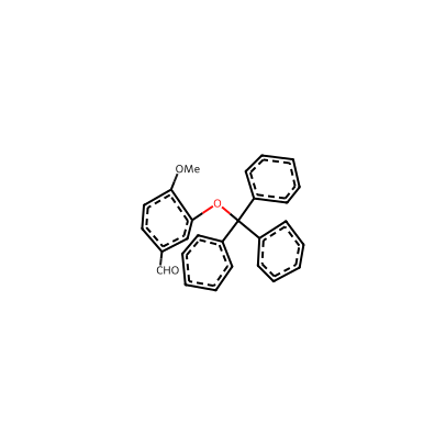 COc1ccc(C=O)cc1OC(c1ccccc1)(c1ccccc1)c1ccccc1